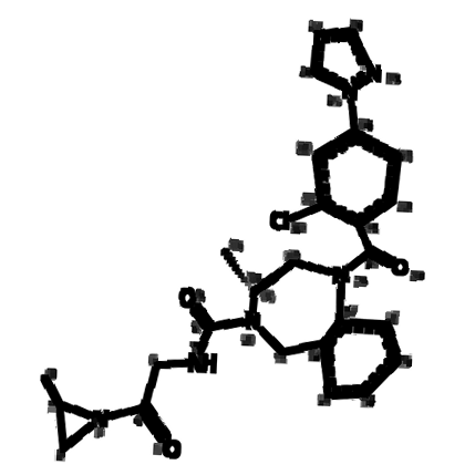 CC1CN1C(=O)CNC(=O)N1Cc2ccccc2N(C(=O)c2ccc(-n3cccn3)cc2Cl)C[C@H]1C